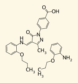 CCCOc1ccccc1N.CCCOc1ccccc1N/C=C1\C(=O)N(c2ccc(C(=O)O)cc2)N=C1C